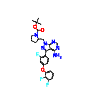 CC(C)(C)OC(=O)N1CCCC1Cn1nc(-c2ccc(Oc3cccc(F)c3F)cc2F)c2c(N)ncnc21